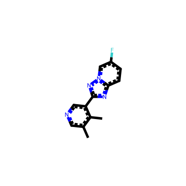 Cc1cncc(-c2nc3ccc(F)cn3n2)c1C